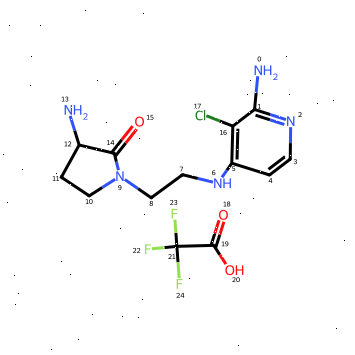 Nc1nccc(NCCN2CCC(N)C2=O)c1Cl.O=C(O)C(F)(F)F